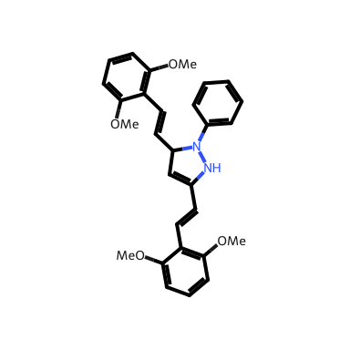 COc1cccc(OC)c1C=CC1=CC(C=Cc2c(OC)cccc2OC)N(c2ccccc2)N1